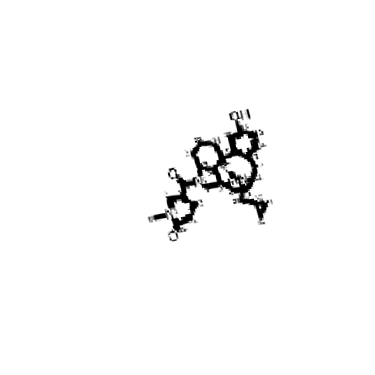 Cn1cc(C(=O)N2C[C@H]3CCC4Cc5ccc(O)cc5C5(CCCC2C35)CCN4CC2CC2)ccc1=O